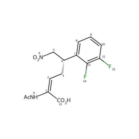 CC(=O)NC(=CC[C@H](C[N+](=O)[O-])c1cccc(F)c1F)C(=O)O